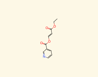 CCOC(=O)C=COC(=O)c1cccnc1